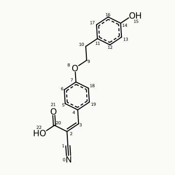 N#CC(=Cc1ccc(OCCc2ccc(O)cc2)cc1)C(=O)O